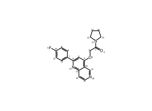 O=C(COc1cc(-c2ccc(F)cc2)nc2ccncc12)N1CCCC1